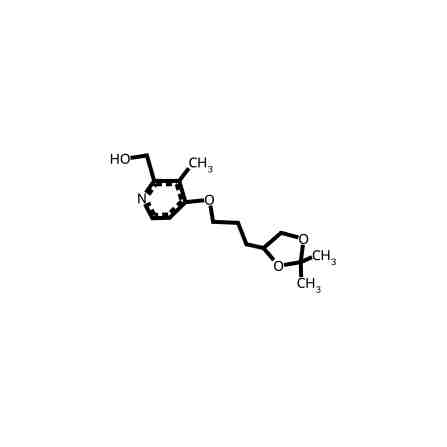 Cc1c(OCCCC2COC(C)(C)O2)ccnc1CO